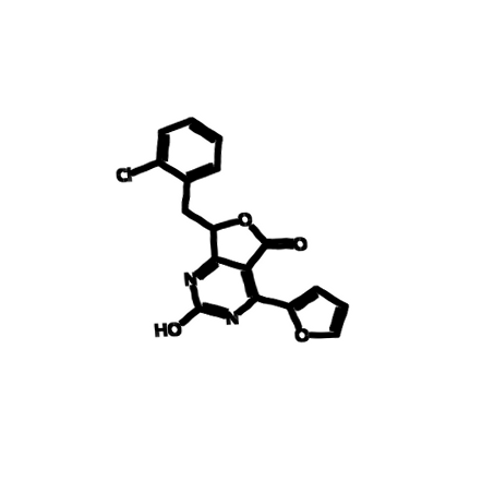 O=C1OC(Cc2ccccc2Cl)c2nc(O)nc(-c3ccco3)c21